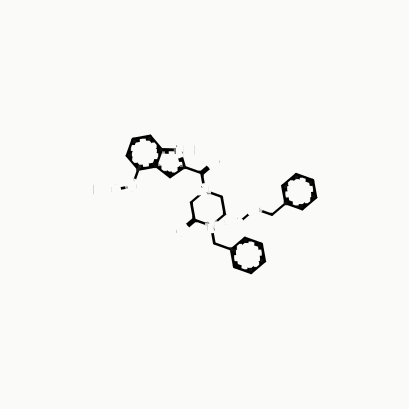 COc1cccc2[nH]c(C(=O)N3CC(=O)N(Cc4ccccc4)[C@@H](COCc4ccccc4)C3)cc12